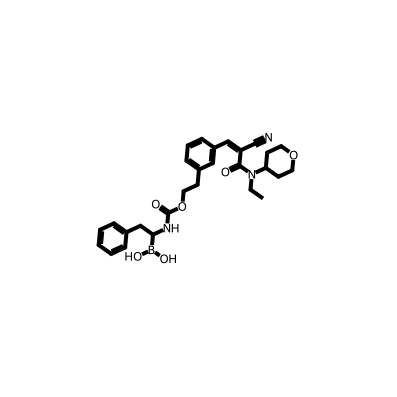 CCN(C(=O)C(C#N)=Cc1cccc(CCOC(=O)NC(Cc2ccccc2)B(O)O)c1)C1CCOCC1